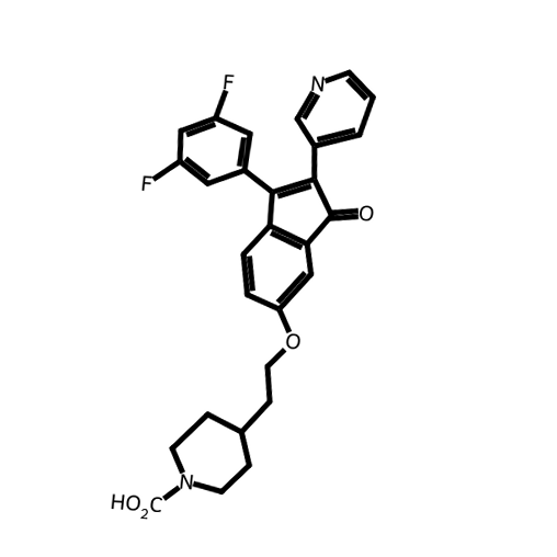 O=C1C(c2cccnc2)=C(c2cc(F)cc(F)c2)c2ccc(OCCC3CCN(C(=O)O)CC3)cc21